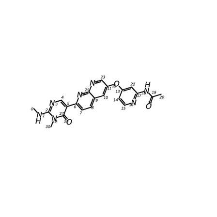 CNc1ncc(-c2ccc3cc(Oc4ccnc(NC(C)=O)c4)cnc3n2)c(=O)n1C